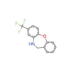 FC(F)(F)c1ccc2c(c1)NCc1ccccc1O2